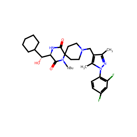 CCCCN1C(=O)[C@@H]([C@H](O)C2CCCCC2)NC(=O)C12CCN(Cc1c(C)nn(-c3ccc(F)cc3F)c1C)CC2